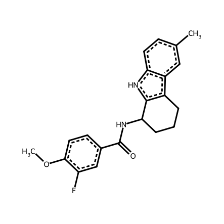 COc1ccc(C(=O)NC2CCCc3c2[nH]c2ccc(C)cc32)cc1F